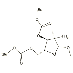 CC(C)(C)OC(=O)OC[C@H]1O[C@@H](OI)[C@](C)(P)[C@@H]1OC(=O)OC(C)(C)C